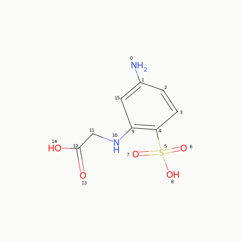 Nc1ccc(S(=O)(=O)O)c(NCC(=O)O)c1